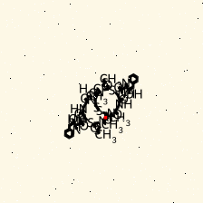 CSC[C@H]1C(=O)SC[C@@H](NC(=O)c2nc3ccccc3cc2O)C(=O)NCC(=O)N(C)[C@H]2CSSCC(C(=O)N1C)N(C)C(=O)CNC(=O)[C@H](NC(=O)c1nc3ccccc3cc1O)CSC(=O)[C@H](CSC)N(C)C2=O